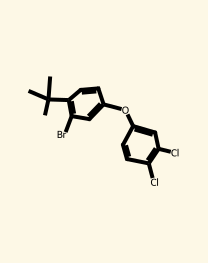 CC(C)(C)c1ccc(Oc2ccc(Cl)c(Cl)c2)cc1Br